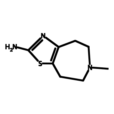 CN1CCc2nc(N)sc2CC1